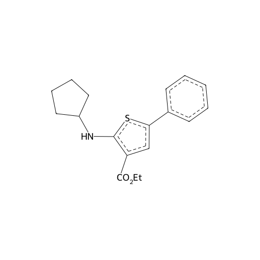 CCOC(=O)c1cc(-c2ccccc2)sc1NC1CCCC1